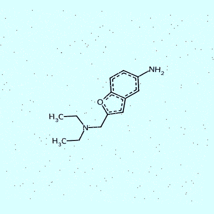 CCN(CC)Cc1cc2cc(N)ccc2o1